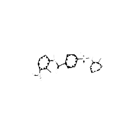 Cc1ccccc1NS(=O)(=O)c1ccc(C(=O)Nc2cccc([N+](=O)[O-])c2C)cc1